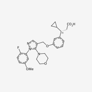 COc1ccc(F)c(-n2ncc(COc3cccc([C@@H](CC(=O)O)C4CC4)c3)c2N2CCOCC2)c1